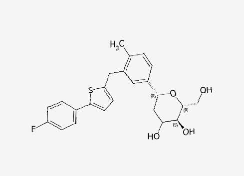 Cc1ccc([C@H]2CC(O)[C@H](O)[C@@H](CO)O2)cc1Cc1ccc(-c2ccc(F)cc2)s1